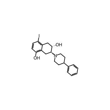 Oc1ccc(I)c2c1C[C@H](N1CCC(c3ccccc3)CC1)[C@@H](O)C2